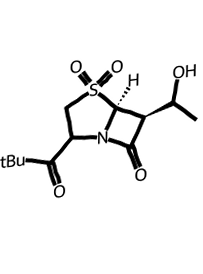 CC(O)[C@H]1C(=O)N2C(C(=O)C(C)(C)C)CS(=O)(=O)[C@@H]12